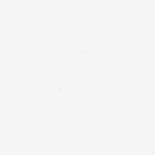 COc1c(I)cc(C(C)=O)cc1C(C)(C)C